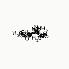 Bc1cc2c(cc1Sc1nc3c(N)ncnc3n1CCC1CCN(C(=O)[C@@H]3COC(C)(C)O3)CC1)OCO2